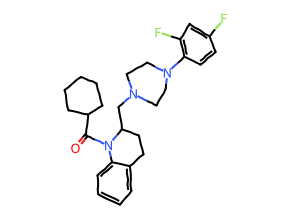 O=C(C1CCCCC1)N1c2ccccc2CCC1CN1CCN(c2ccc(F)cc2F)CC1